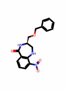 O=C1N[C@@H](COCc2ccccc2)CNc2c1cccc2[N+](=O)[O-]